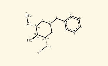 CCCCO[C@@H]1CN(Cc2ccccc2)C[C@H](CF)[C@H]1O